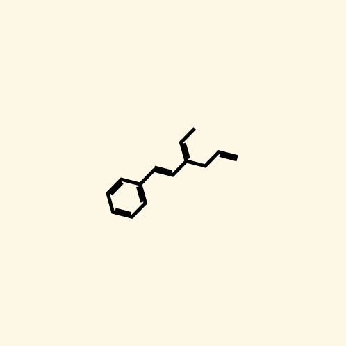 C=CCC(C=Cc1ccccc1)=CC